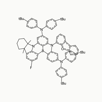 CC(C)(C)c1ccc(N(c2ccc(C(C)(C)C)cc2)c2ccc3c(c2)N(c2cccc4c2oc2ccccc24)c2cc(N(c4ccc(C(C)(C)C)cc4)c4ccc(C(C)(C)C)cc4)cc4c2B3c2cc(F)cc3c2N4C2(C)CCCCC32C)cc1